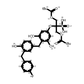 Cc1cc(OC(COC(=O)C(C)(C)C)(COC(=O)C(C)(C)C)P(=O)(O)O)cc(C)c1Cc1ccc(O)c(Cc2ccc(F)cc2)c1